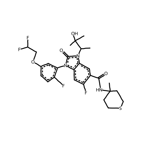 CC(n1c(=O)n(-c2cc(OCC(F)F)ccc2F)c2cc(F)c(C(=O)NC3(C)CCSCC3)cc21)C(C)(C)O